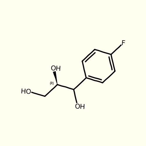 OC[C@@H](O)C(O)c1ccc(F)cc1